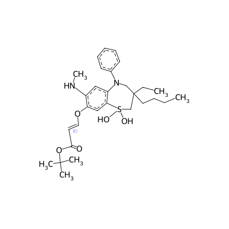 CCCCC1(CC)CN(c2ccccc2)c2cc(NC)c(O/C=C/C(=O)OC(C)(C)C)cc2S(O)(O)C1